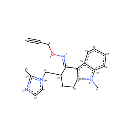 C#CCON=C1c2c(n(C)c3ccccc23)CCC1Cn1ccnc1C